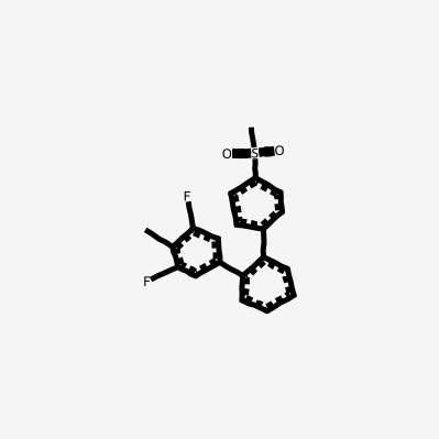 Cc1c(F)cc(-c2ccccc2-c2ccc(S(C)(=O)=O)cc2)cc1F